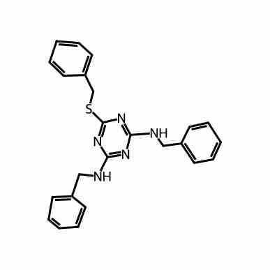 c1ccc(CNc2nc(NCc3ccccc3)nc(SCc3ccccc3)n2)cc1